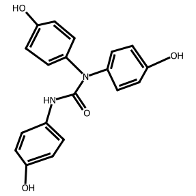 O=C(Nc1ccc(O)cc1)N(c1ccc(O)cc1)c1ccc(O)cc1